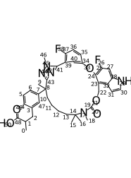 CC(Cc1cccc(C2(C)CCCCC(C)(C)N(C)C(=O)OCc3c(c(F)cc4[nH]ccc34)Oc3ccc(F)c(c3)-c3nc2nn3C)c1)C(=O)O